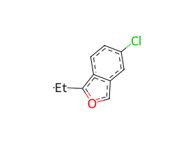 C[CH]c1occ2cc(Cl)ccc12